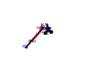 CC(C)NCCCCCC(=O)NCCOCCOCCOCCOCCC(=O)N[C@@H](CSCC(=O)N(CCCN)[C@@H](c1cc(-c2cc(F)ccc2F)cn1Cc1ccccc1)C(C)(C)C)C(=O)O